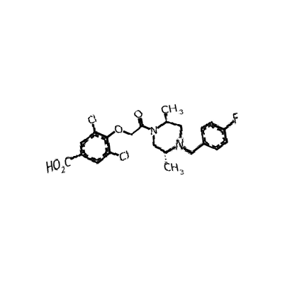 C[C@@H]1CN(C(=O)COc2c(Cl)cc(C(=O)O)cc2Cl)[C@@H](C)CN1Cc1ccc(F)cc1